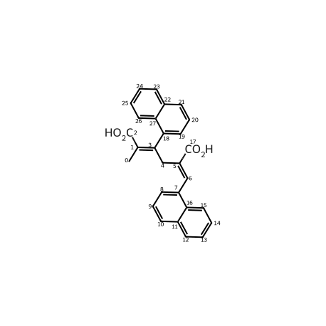 CC(C(=O)O)=C(CC(=Cc1cccc2ccccc12)C(=O)O)c1cccc2ccccc12